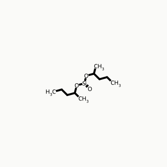 CCCC(C)O[Si](=O)OC(C)CCC